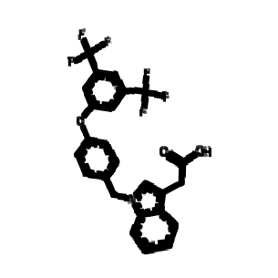 O=C(O)Cc1cn(Cc2ccc(Oc3cc(C(F)(F)F)cc(C(F)(F)F)c3)cc2)c2ccccc12